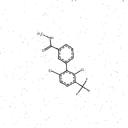 CNC(=O)c1cccc(-c2c(Cl)ccc(C(F)(F)F)c2Cl)c1